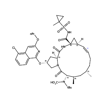 CCCOc1cc2c(Cl)cccc2c(O[C@@H]2C[C@H]3C(=O)N[C@]4(C(=O)NS(=O)(=O)C5(C)CC5)C[C@H]4/C=C\CC[C@H](C)C[C@@H](C)[C@H](N(C(=O)O)C(C)(C)C)C(=O)N3C2)n1